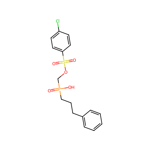 O=P(O)(CCCc1ccccc1)COS(=O)(=O)c1ccc(Cl)cc1